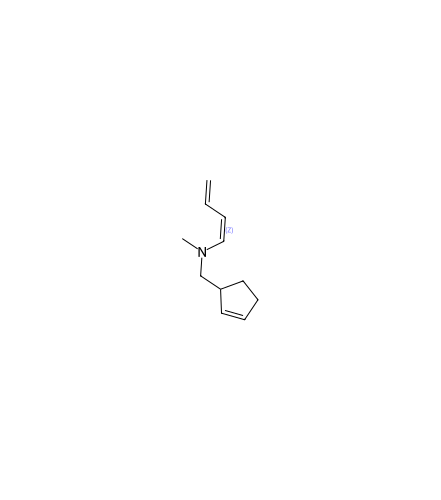 C=C/C=C\N(C)CC1C=CCC1